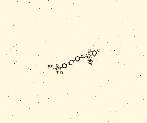 CC1(C)C(=O)N(c2ccc(N3CCN(c4ccc(OCC5COC(Cn6cncn6)(c6ccc(Cl)cc6Cl)O5)cc4)CC3)cc2)C(=O)N1CCO